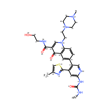 CCCNC(=O)Nc1cc(-c2nc(C(F)(F)F)cs2)c(-c2ccc3c(c2)c(=O)c(C(=O)NCCO)cn3CCN2CCN(C)CC2)cn1